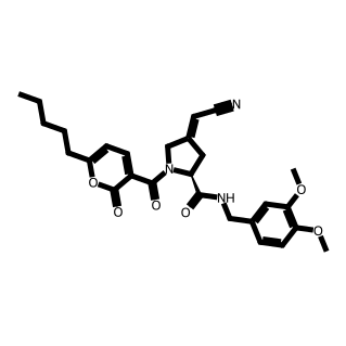 CCCCCc1ccc(C(=O)N2CC(=CC#N)C[C@H]2C(=O)NCc2ccc(OC)c(OC)c2)c(=O)o1